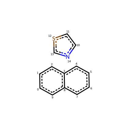 c1ccc2ccccc2c1.c1cscn1